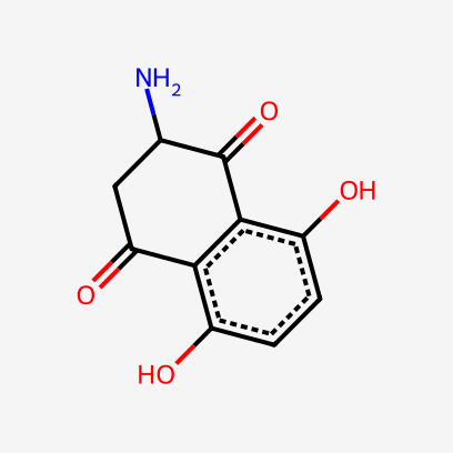 NC1CC(=O)c2c(O)ccc(O)c2C1=O